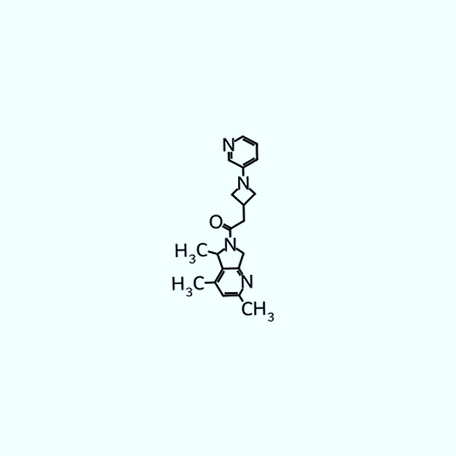 Cc1cc(C)c2c(n1)CN(C(=O)CC1CN(c3cccnc3)C1)C2C